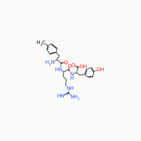 Cc1ccc(CC(N)C(=O)NC(CCCNC(=N)N)C(=O)NC(Cc2ccc(O)cc2)C(=O)O)cc1